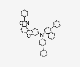 c1ccc(-c2ccc(N(c3ccc4c(c3)oc3ccc5oc(-c6ccccc6)nc5c34)c3ccc(-c4ccccc4)c4ccccc34)cc2)cc1